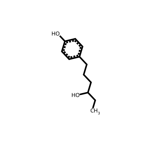 CCC(O)CCCc1ccc(O)cc1